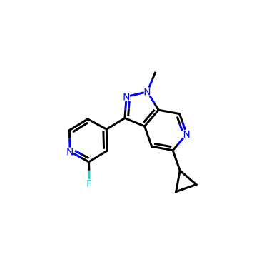 Cn1nc(-c2ccnc(F)c2)c2cc(C3CC3)ncc21